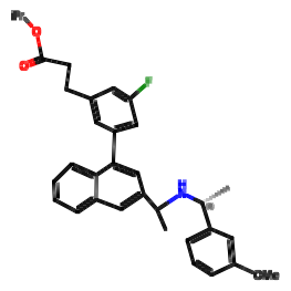 COc1cccc([C@@H](C)NC(C)c2cc(-c3cc(F)cc(CCC(=O)OC(C)C)c3)c3ccccc3c2)c1